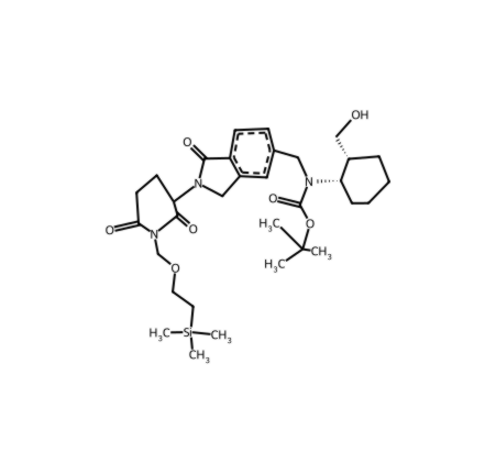 CC(C)(C)OC(=O)N(Cc1ccc2c(c1)CN(C1CCC(=O)N(COCC[Si](C)(C)C)C1=O)C2=O)[C@H]1CCCC[C@H]1CO